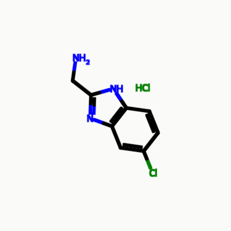 Cl.NCc1nc2cc(Cl)ccc2[nH]1